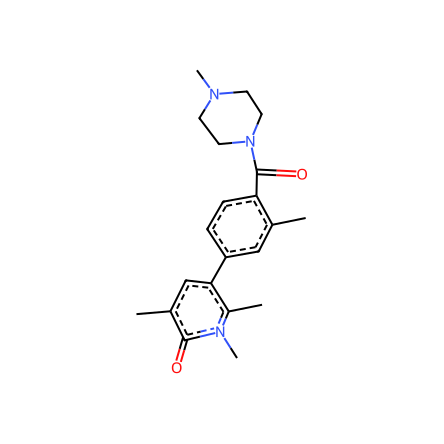 Cc1cc(-c2cc(C)c(=O)n(C)c2C)ccc1C(=O)N1CCN(C)CC1